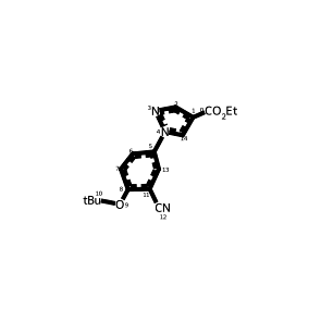 CCOC(=O)c1cnn(-c2ccc(OC(C)(C)C)c(C#N)c2)c1